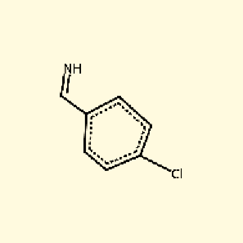 N=Cc1ccc(Cl)cc1